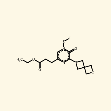 CCOC(=O)CCc1cn(SF)c(=O)c(N2CC3(COC3)C2)n1